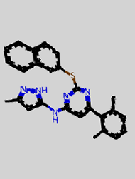 Cc1cc(Nc2cc(-c3c(C)cccc3C)nc(Sc3ccc4ccccc4c3)n2)[nH]n1